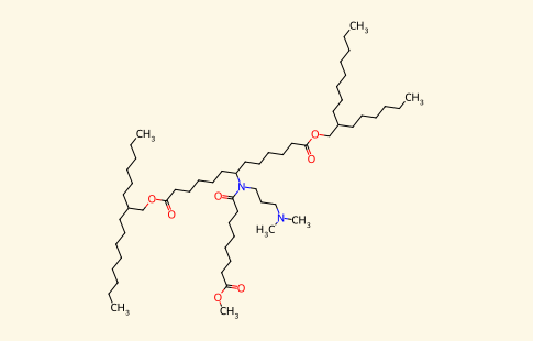 CCCCCCCCC(CCCCCC)COC(=O)CCCCCC(CCCCCC(=O)OCC(CCCCCC)CCCCCCCC)N(CCCN(C)C)C(=O)CCCCCCC(=O)OC